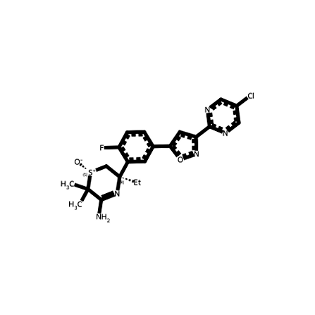 CC[C@@]1(c2cc(-c3cc(-c4ncc(Cl)cn4)no3)ccc2F)C[S@@+]([O-])C(C)(C)C(N)=N1